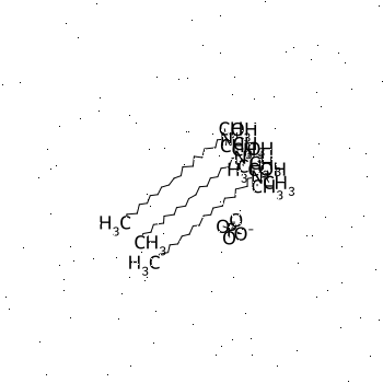 CCCCCCCCCCCCCCCCCC[N+](C)(C)C(C)O.CCCCCCCCCCCCCCCCCC[N+](C)(C)C(C)O.CCCCCCCCCCCCCCCCCC[N+](C)(C)C(C)O.O=P([O-])([O-])[O-]